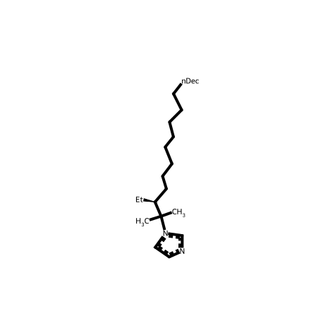 CCCCCCCCCCCCCCCCCC[C@H](CC)C(C)(C)n1ccnc1